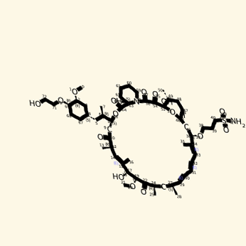 CO[C@@H]1C[C@H](C[C@@H](C)[C@@H]2CC(=O)[C@H](C)/C=C(\C)[C@@H](O)[C@@H](OC)C(=O)[C@H](C)C[C@H](C)/C=C/C=C/C=C(\C)[C@@H](OCCCS(N)(=O)=O)C[C@@H]3CC[C@@H](C)[C@@](O)(O3)C(=O)C(=O)N3CCCC[C@H]3C(=O)O2)CC[C@H]1OCCO